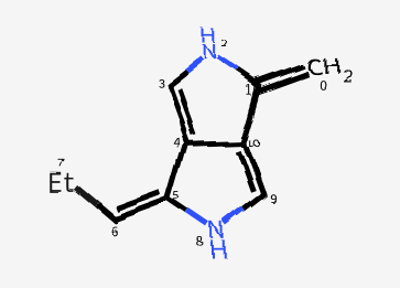 C=c1[nH]cc2c(=CCC)[nH]cc12